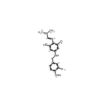 COc1ccc(CNc2cc(Cl)c(N=CN(C)C)c(Cl)c2)cc1F